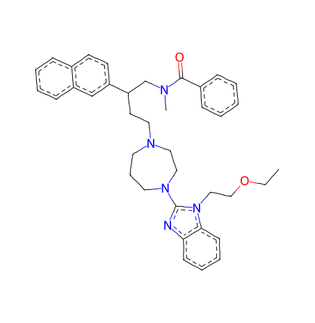 CCOCCn1c(N2CCCN(CCC(CN(C)C(=O)c3ccccc3)c3ccc4ccccc4c3)CC2)nc2ccccc21